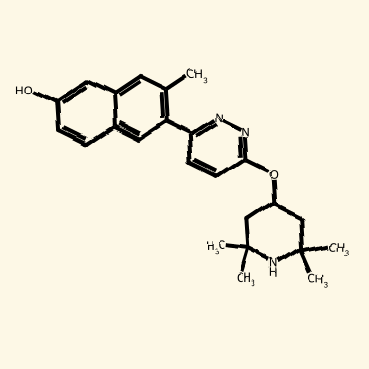 Cc1cc2cc(O)ccc2cc1-c1ccc(OC2CC(C)(C)NC(C)(C)C2)nn1